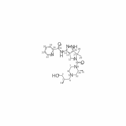 C[C@@H](CO)CN1CCN(C(=O)N2Cc3c(NC(=O)c4ccccn4)n[nH]c3C2(C)C)[C@@H](C)C1